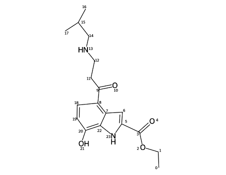 CCOC(=O)c1cc2c(C(=O)CCNCC(C)C)ccc(O)c2[nH]1